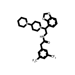 O=C(Cc1cc(C(F)(F)F)cc(C(F)(F)F)c1)NCC(c1cccc2c1OCO2)N1CCC(N2CCCCC2)CC1